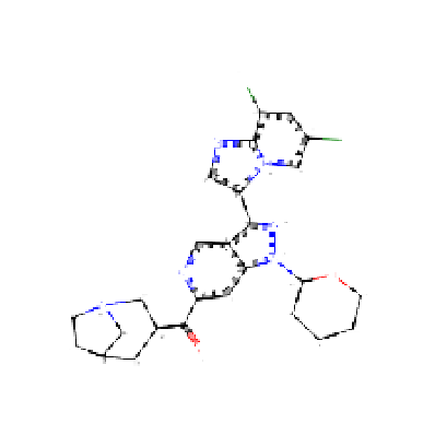 O=C(c1cc2c(cn1)c(-c1cnc3c(F)cc(F)cn13)nn2C1CCCCO1)C1CC2CCN(C2)C1